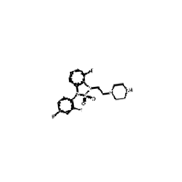 O=S1(=O)N(CCN2CCNCC2)c2c(F)cccc2N1c1ccc(F)cc1F